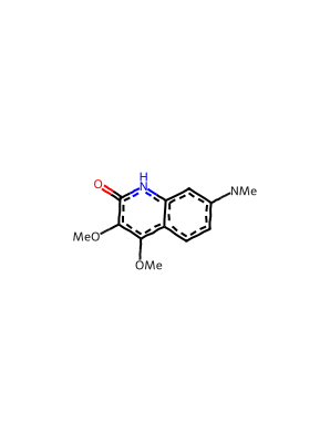 CNc1ccc2c(OC)c(OC)c(=O)[nH]c2c1